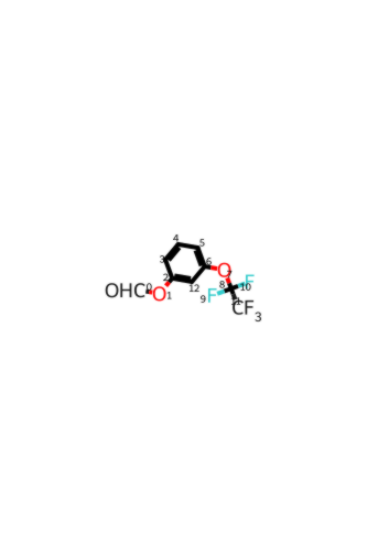 O=COc1cccc(OC(F)(F)C(F)(F)F)c1